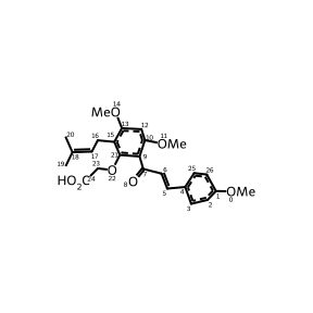 COc1ccc(C=CC(=O)c2c(OC)cc(OC)c(CC=C(C)C)c2OCC(=O)O)cc1